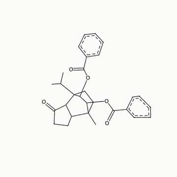 CC(C)C12CCC(C)(C3CCC(=O)C31)C(OC(=O)c1ccccc1)C2OC(=O)c1ccccc1